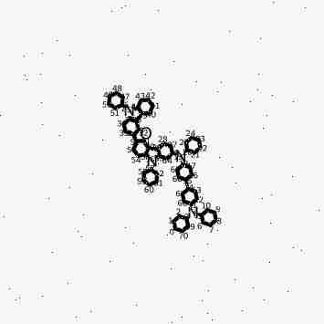 c1ccc(N(c2ccccc2)c2ccc(-c3ccc(N(c4ccccc4)c4ccc5c6c7oc8c(ccc9c8c8ccccc8n9-c8ccccc8)c7ccc6n(-c6ccccc6)c5c4)cc3)cc2)cc1